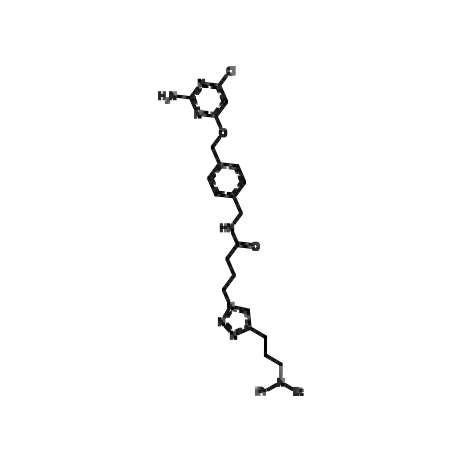 CCN(CCCc1cn(CCCC(=O)NCc2ccc(COc3cc(Cl)nc(N)n3)cc2)nn1)C(C)C